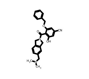 CN(C)Cc1ccc2c(c1)CN(C(=O)c1c(O)cc(C#N)cc1OCc1ccccc1)C2